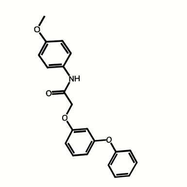 COc1ccc(NC(=O)COc2cccc(Oc3ccccc3)c2)cc1